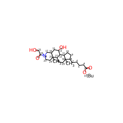 CC(C)(C)OC(=O)CCCCC1CCC2C3C(O)CC4CN(C(=O)CO)CCC4(C)C3CCC12C